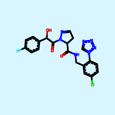 O=C(NCc1cc(Cl)ccc1-n1cnnn1)C1CC=NN1C(=O)C(O)c1ccc(F)cc1